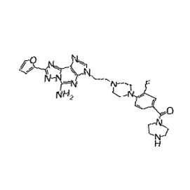 Nc1nc2c(ncn2CCN2CCN(c3ccc(C(=O)N4CCNCC4)cc3F)CC2)c2nc(-c3ccco3)nn12